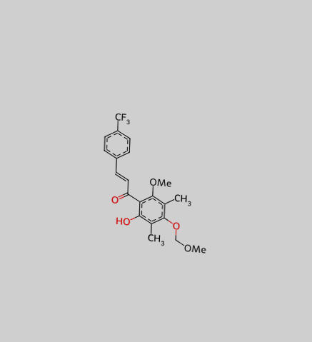 COCOc1c(C)c(O)c(C(=O)C=Cc2ccc(C(F)(F)F)cc2)c(OC)c1C